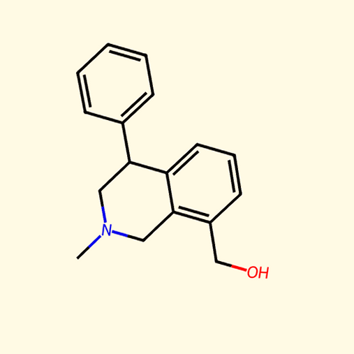 CN1Cc2c(CO)cccc2C(c2ccccc2)C1